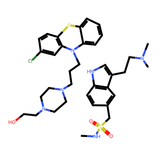 CNS(=O)(=O)Cc1ccc2[nH]cc(CCN(C)C)c2c1.OCCN1CCN(CCCN2c3ccccc3Sc3ccc(Cl)cc32)CC1